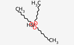 CCCCCCCCCO[SiH](OCCCCCCCCC)OCCCCCCCCC